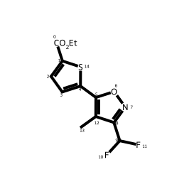 CCOC(=O)c1ccc(-c2onc(C(F)F)c2C)s1